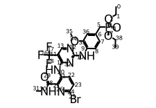 CCOP(=O)(Cc1ccc(Nc2ncc(C(F)(F)F)c(Nc3ccc(Br)nc3C(=O)NC)n2)c(OC)c1)OCC